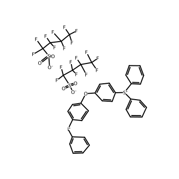 O=S(=O)([O-])C(F)(F)C(F)(F)C(F)(F)C(F)(F)F.O=S(=O)([O-])C(F)(F)C(F)(F)C(F)(F)C(F)(F)F.c1ccc([I+]c2ccc(Oc3ccc([S+](c4ccccc4)c4ccccc4)cc3)cc2)cc1